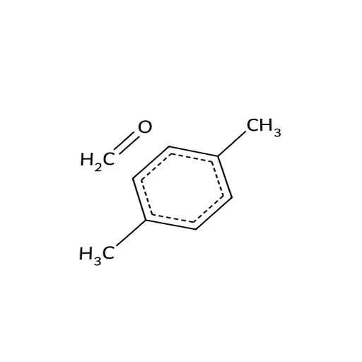 C=O.Cc1ccc(C)cc1